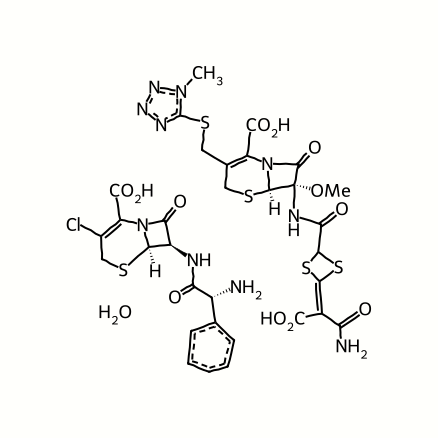 CO[C@@]1(NC(=O)C2SC(=C(C(N)=O)C(=O)O)S2)C(=O)N2C(C(=O)O)=C(CSc3nnnn3C)CS[C@@H]21.N[C@@H](C(=O)N[C@@H]1C(=O)N2C(C(=O)O)=C(Cl)CS[C@H]12)c1ccccc1.O